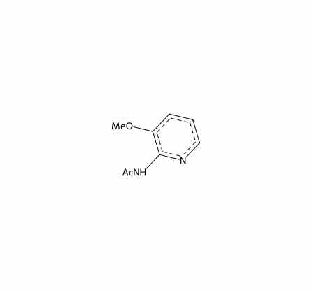 COc1cccnc1NC(C)=O